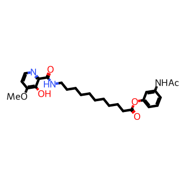 COc1ccnc(C(=O)NCCCCCCCCCCC(=O)Oc2cccc(NC(C)=O)c2)c1O